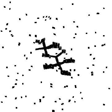 CCC(NC(C)(N)N)[Si](OC)(OC)OC